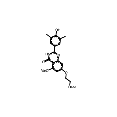 COCCOc1cc(OC)c2c(=O)[nH]c(-c3cc(C)c(O)c(C)c3)nc2c1